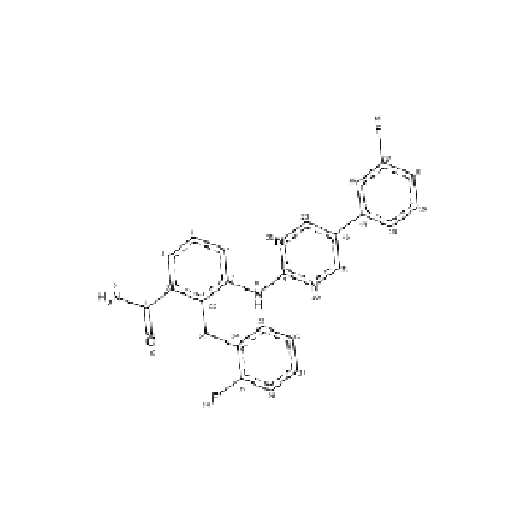 NC(=O)c1cccc(Nc2ncc(-c3cccc(F)c3)cn2)c1Cc1ccccc1F